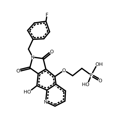 O=C1c2c(c(O)c3ncccc3c2OCCP(=O)(O)O)C(=O)N1Cc1ccc(F)cc1